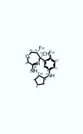 C[C@]1(c2cc(NC3CCCC3)ccc2F)N=C(N)COC[C@@H]1F